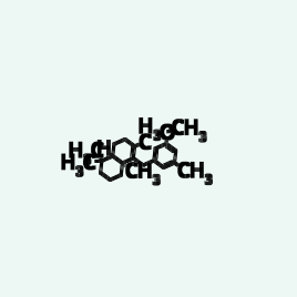 COc1cc(C)cc(CC2=C(C)CC[C@H]3C(C)(C)CCC[C@]23C)c1